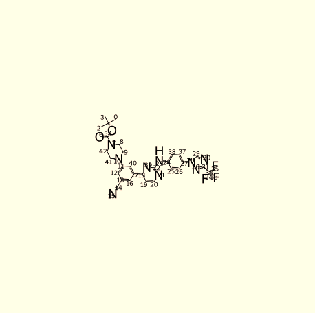 CC(C)(C)OC(=O)N1CCN(c2cc(C#N)cc(-c3ccnc(Nc4ccc(-n5cnc(C(F)(F)F)n5)cc4)n3)c2)CC1